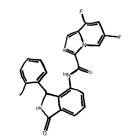 Cc1ccccc1C1NC(=O)c2cccc(NC(=O)c3ncc4c(F)cc(F)cn34)c21